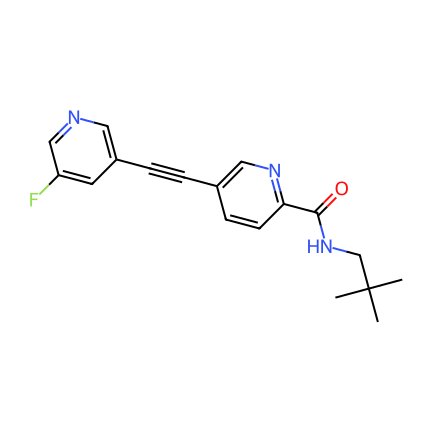 CC(C)(C)CNC(=O)c1ccc(C#Cc2cncc(F)c2)cn1